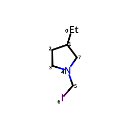 CCC1CCN(CI)C1